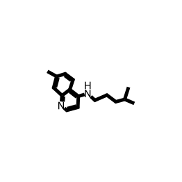 Cc1ccc2c(NCCCC(C)C)ccnc2c1